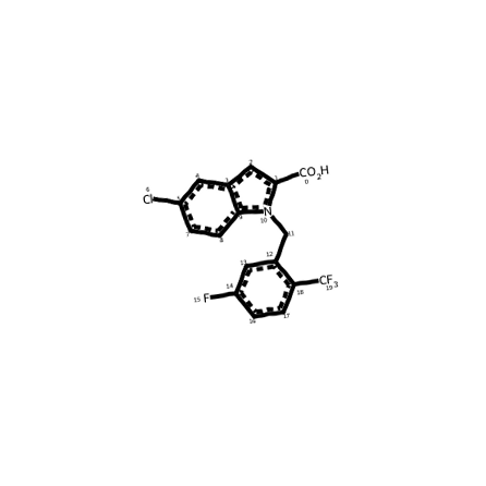 O=C(O)c1cc2cc(Cl)ccc2n1Cc1cc(F)ccc1C(F)(F)F